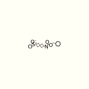 CN(C(=O)OCc1ccccc1)C1CC2(C1)CC([S+]([O-])Cl)C2